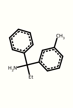 [CH2]CC(N)(c1ccccc1)c1cccc(C)c1